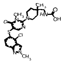 Cn1cc2c(Cl)c(Sc3cnc(N4CCC(C)(CNC(=O)O)CC4)n(C)c3=O)ccc2n1